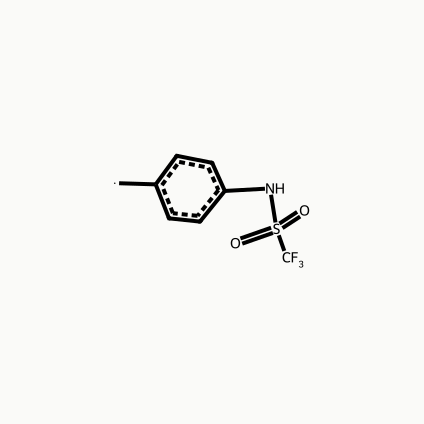 [CH2]c1ccc(NS(=O)(=O)C(F)(F)F)cc1